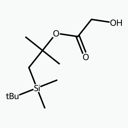 CC(C)(C[Si](C)(C)C(C)(C)C)OC(=O)CO